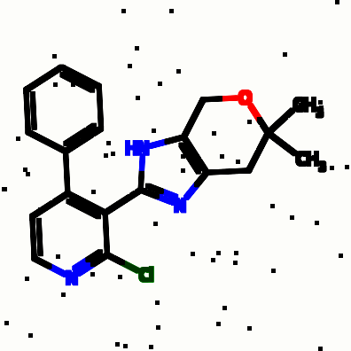 CC1(C)Cc2nc(-c3c(-c4ccccc4)ccnc3Cl)[nH]c2CO1